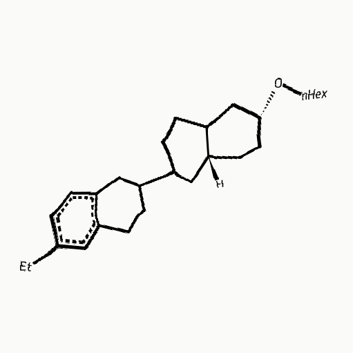 CCCCCCO[C@@H]1CC[C@@H]2CC(C3CCc4cc(CC)ccc4C3)CCC2C1